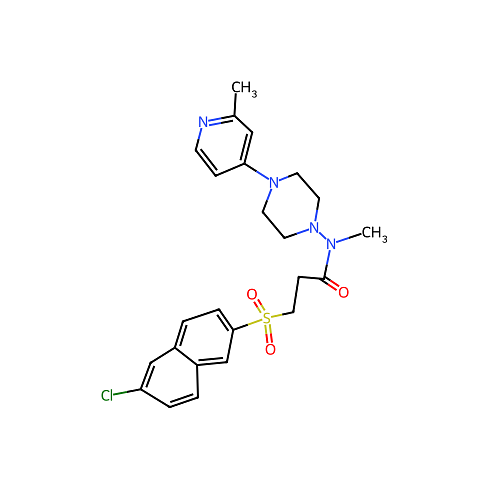 Cc1cc(N2CCN(N(C)C(=O)CCS(=O)(=O)c3ccc4cc(Cl)ccc4c3)CC2)ccn1